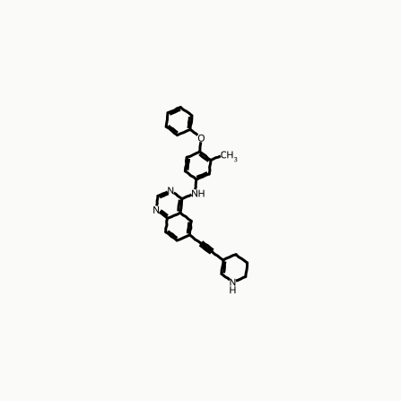 Cc1cc(Nc2ncnc3ccc(C#CC4=CNCCC4)cc23)ccc1Oc1ccccc1